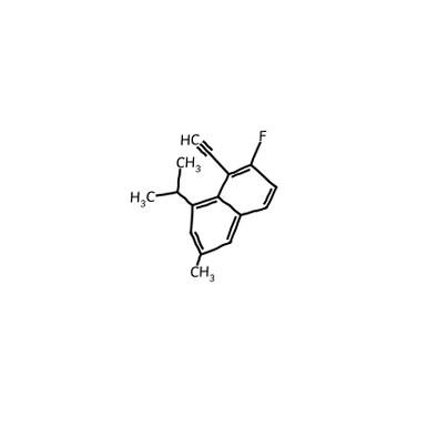 C#Cc1c(F)ccc2cc(C)cc(C(C)C)c12